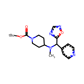 CN(C1CCN(C(=O)OC(C)(C)C)CC1)C(c1ccncc1)c1ncno1